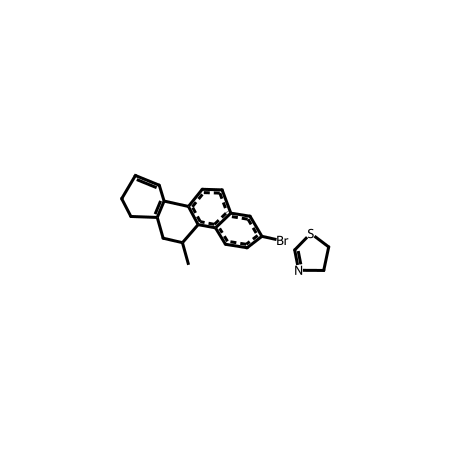 C1=NCCS1.CC1CC2=C(C=CCC2)c2ccc3cc(Br)ccc3c21